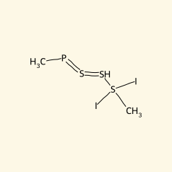 CP=S=[SH]S(C)(I)I